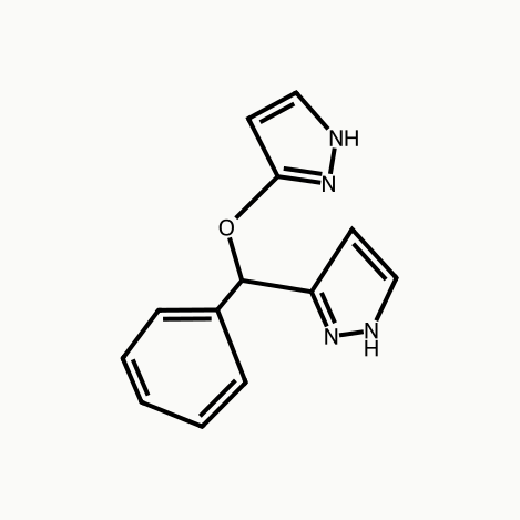 c1ccc(C(Oc2cc[nH]n2)c2cc[nH]n2)cc1